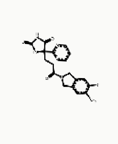 O=C1NC(=O)C(CCC(=O)N2Cc3cc(Cl)c(C(F)(F)F)cc3C2)(c2ncccn2)N1